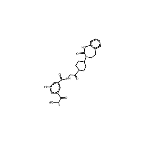 CC(O)C(=O)c1cc(Cl)cc(C(=O)NCC(=O)N2CCC(N3CCc4ccccc4NC3=O)CC2)c1